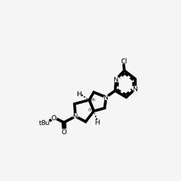 CC(C)(C)OC(=O)N1C[C@@H]2CN(c3cncc(Cl)n3)C[C@@H]2C1